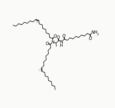 CCCCCCCC/C=C\CCCCCCCC(=O)N(C(=O)CCCCCCC/C=C\CCCCCCCC)C(C)C(=O)NC(=O)CCCCCCCCC(N)=O